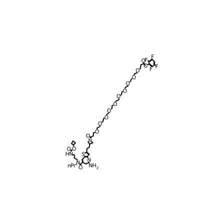 CCCN(CCCNC(=O)OC1CCC1)C(=O)C1=Cc2sc(CCC3CN(C(=O)CCOCCOCCOCCOCCOCCOCCOCCOCCOCCOCCC(=O)Oc4c(F)c(F)cc(F)c4F)C3)cc2N=C(N)C1